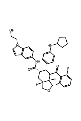 Cc1cccc(F)c1C(=O)N1[C@@H]2COC[C@@H]2C[C@H](C(=O)Nc2ccc3c(cnn3CCO)c2)[C@@H]1c1ccc(NC2CCCC2)cc1